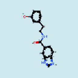 O=C(NCCc1cccc(O)c1)c1ccc2nc[nH]c2c1